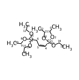 CCO[Si](/C=C\C[Si](OCC)(OCC)OCC)(OCC)OCC